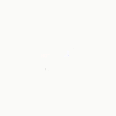 C=NC(CC)C(O)=S